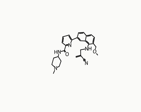 C=C(C#N)CNc1c(COC)ccc2ccc(-c3cccc(C(=O)NC4CCN(C)CC4)n3)cc12